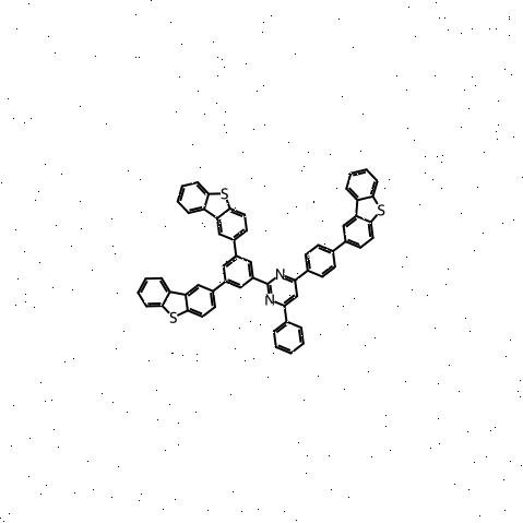 c1ccc(-c2cc(-c3ccc(-c4ccc5sc6ccccc6c5c4)cc3)nc(-c3cc(-c4ccc5sc6ccccc6c5c4)cc(-c4ccc5sc6ccccc6c5c4)c3)n2)cc1